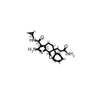 NC(=O)CCC1(c2ccccc2)CCc2c(sc(N)c2C(=O)NC2CC2)C1=O